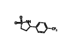 O=S1(=O)CCC(c2ccc(C(F)(F)F)cc2)N1